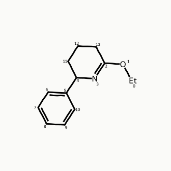 CCOC1=NC(c2ccccc2)CCC1